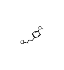 COc1ccc(CC[CH]Cl)cc1